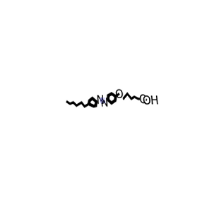 CCCCCCc1ccc(/N=N/c2ccc(OCCCCCCO)cc2)cc1